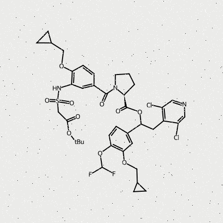 CC(C)(C)OC(=O)CS(=O)(=O)Nc1cc(C(=O)N2CCC[C@H]2C(=O)OC(Cc2c(Cl)cncc2Cl)c2ccc(OC(F)F)c(OCC3CC3)c2)ccc1OCC1CC1